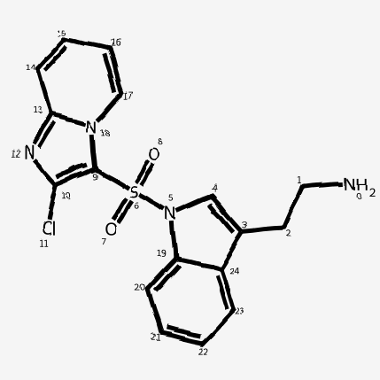 NCCc1cn(S(=O)(=O)c2c(Cl)nc3ccccn23)c2ccccc12